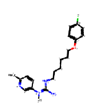 COc1ccc([N+](C#N)=C(N)NCCCCCCOc2ccc(Cl)cc2)cn1